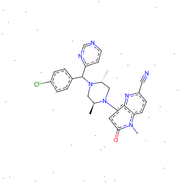 C[C@@H]1CN(c2cc(=O)n(C)c3ccc(C#N)nc23)[C@@H](C)CN1C(c1ccc(Cl)cc1)c1ccncn1